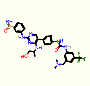 CC(CO)Nc1nc(Nc2cccc([SH](=N)=O)c2)ncc1-c1ccc(NC(=O)Nc2cc(CN(C)C)cc(C(F)(F)F)c2)cc1